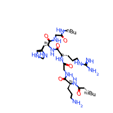 CCCCNC(=O)CNC(=O)[C@@H](CC1=CNCN1)NC(=O)[C@H](CCCNC(=N)N)NC(=O)CNC(=O)[C@H](CCCN)NC(=O)C[C@@H](C)CC